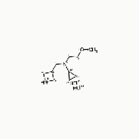 COCCN(CC1CNC1)C1CC1.Cl.Cl